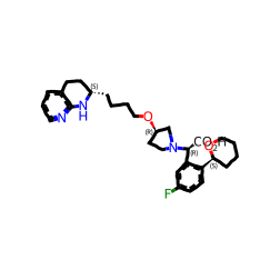 O=C(O)[C@@H](c1cc(F)ccc1[C@@H]1CCCCO1)N1CC[C@@H](OCCCC[C@H]2CCc3cccnc3N2)C1